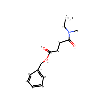 CN(CC(=O)O)C(=O)CCC(=O)OCc1ccccc1